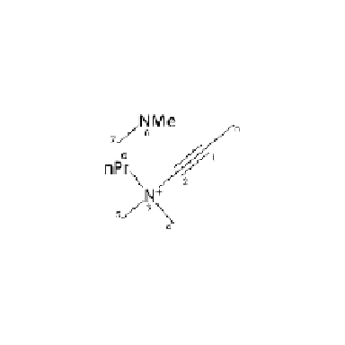 CC#C[N+](C)(C)CCC.CNC